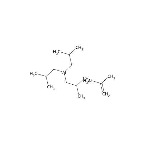 C=[C](C)[AlH2].CC(C)[CH2][Al]([CH2]C(C)C)[CH2]C(C)C